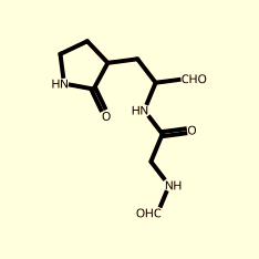 O=CNCC(=O)NC(C=O)CC1CCNC1=O